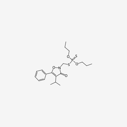 CCCOP(=S)(OCCC)SCn1oc(-c2ccccc2)c(C(C)C)c1=O